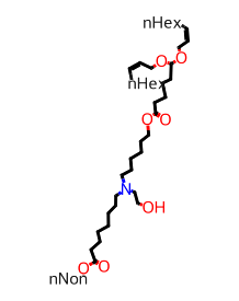 CCCCCC/C=C\COC(CCCCC(=O)OCCCCCCN(CCO)CCCCCCCC(=O)OCCCCCCCCC)OC/C=C\CCCCCC